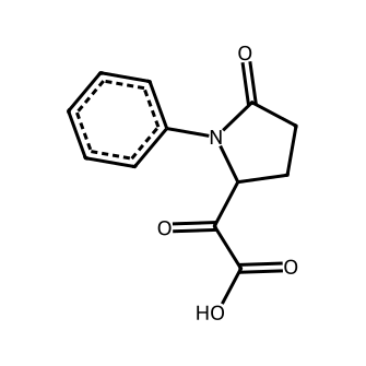 O=C(O)C(=O)C1CCC(=O)N1c1ccccc1